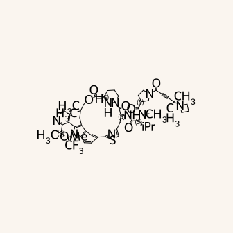 CO[C@@H](C)c1ncccc1-c1c2c3cc(ccc3n1CC(F)(F)F)-c1nc(cs1)C[C@H](NC(=O)[C@H](C(C)C)N(C)C(=O)[C@H]1CCN(C(=O)C#CC(C)(C)N3CCC3)C1)C(=O)N1CCC[C@H](N1)C(=O)OCC(C)(C)C2